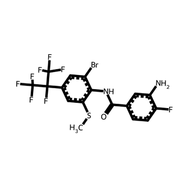 CSc1cc(C(F)(C(F)(F)F)C(F)(F)F)cc(Br)c1NC(=O)c1ccc(F)c(N)c1